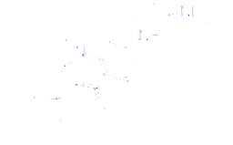 NC1CCN(c2c(F)cc3c(=O)c(C(=O)O)c4n(c3c2F)CS4)C1